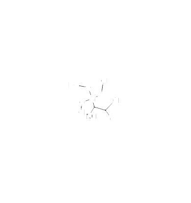 CO[Si](OC)(OC)C(N)C(C)C